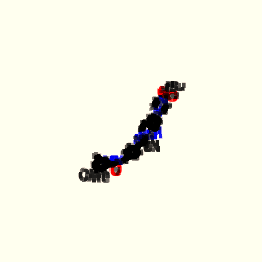 COc1ccc(C)cc1C(=O)NCc1ccc(-c2nn3c(c2C#N)Nc2ccc(N4CCN(C(=O)OC(C)(C)C)CC4)cc2CC3)cc1